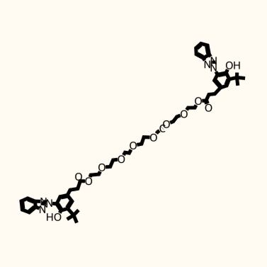 CC(C)(C)c1cc(CCC(=O)OCCOCCOCCOCCOCCOCCOCCOC(=O)CCc2cc(-n3n4c5ccccc5n34)c(O)c(C(C)(C)C)c2)cc(-n2n3c4ccccc4n23)c1O